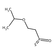 CC(C)OCCP(=O)=S